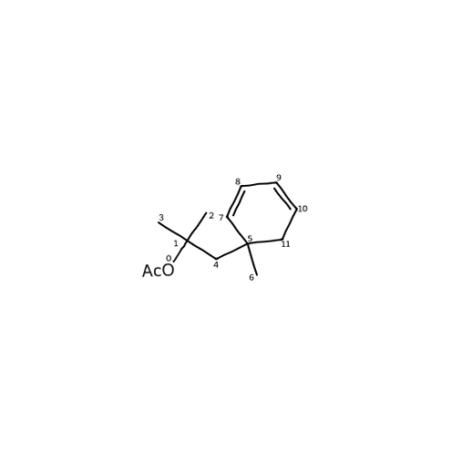 CC(=O)OC(C)(C)CC1(C)C=CC=CC1